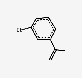 [CH2]Cc1cccc(C(=C)C)c1